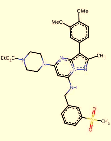 CCOC(=O)N1CCN(c2cc(NCc3cccc(S(C)(=O)=O)c3)n3nc(C)c(-c4ccc(OC)c(OC)c4)c3n2)CC1